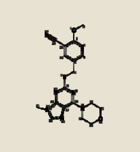 COc1ccc(CSc2nc(N3CCOCC3)c3ncn(C)c3n2)cc1C#N